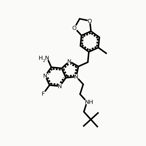 Cc1cc2c(cc1Cc1nc3c(N)nc(F)nc3n1CCNCC(C)(C)C)OCO2